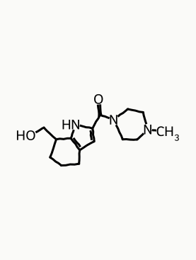 CN1CCN(C(=O)c2cc3c([nH]2)C(CO)CCC3)CC1